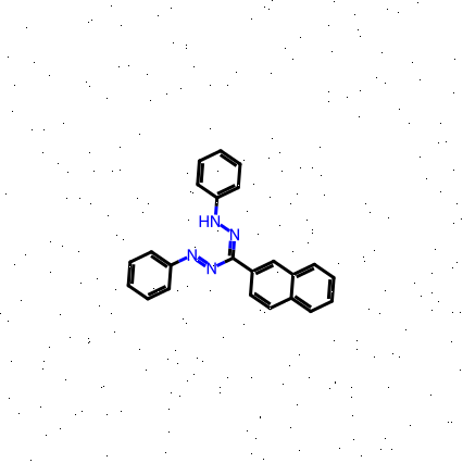 c1ccc(N=NC(=NNc2ccccc2)c2ccc3ccccc3c2)cc1